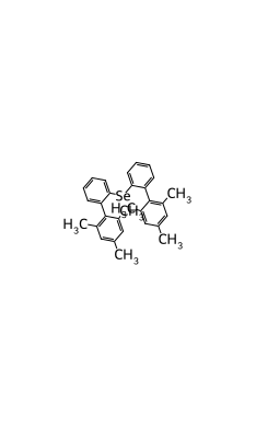 Cc1cc(C)c(-c2ccccc2[Se]c2ccccc2-c2c(C)cc(C)cc2C)c(C)c1